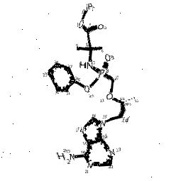 CC(C)OC(=O)C(C)(C)NP(=O)(CO[C@H](C)Cn1cnc2c(N)ncnc21)Oc1ccccc1